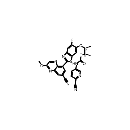 COc1cnc2c(-c3nc4cc(F)c(O[C@@H](C)[C@@H](C)OC(=O)Nc5ccc(C#N)nc5)cc4s3)cc(C#N)cc2n1